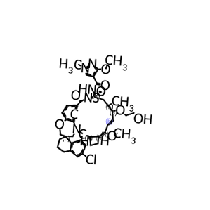 COc1nn(C)cc1C(=O)N[S@@]1(=O)=NC(=O)c2ccc3c(c2)N(C[C@@H]2CC[C@H]2[C@@H](OC)/C=C/[C@H](OCCO)[C@H](C)C1)C[C@@]1(CCCc2cc(Cl)ccc21)CO3